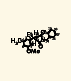 CC[C@]1(c2cc(C)cc(OC)c2)[C@@H]2C(=O)N(Cc3ccccc3)C(=O)[C@@H]21